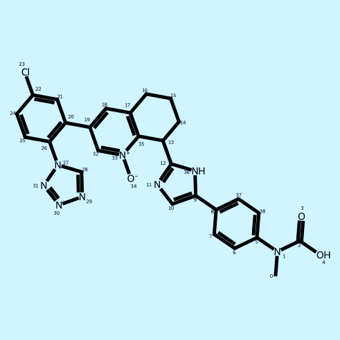 CN(C(=O)O)c1ccc(-c2cnc(C3CCCc4cc(-c5cc(Cl)ccc5-n5cnnn5)c[n+]([O-])c43)[nH]2)cc1